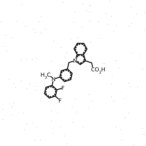 CN(c1cccc(Cn2cc(CC(=O)O)c3ccccc32)c1)c1cccc(F)c1F